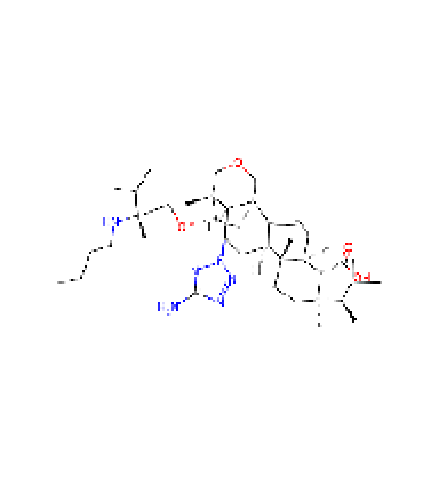 CCCCN[C@@](C)(CO[C@H]1[C@H](n2nnc(N)n2)C[C@@]23COC[C@]1(C)[C@@H]2CC[C@H]1C3=CC[C@@]2(C)[C@H](C(=O)O)[C@@](C)([C@H](C)C(C)C)CC[C@]12C)C(C)C